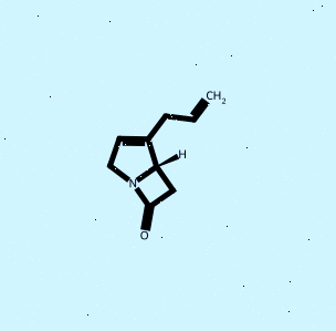 C=CCC1=CCN2C(=O)C[C@@H]12